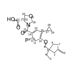 C=CCC(CC)(CC)COc1cc(F)c(C(=O)N2COC[C@H]2C(=O)O)cc1C1CC1